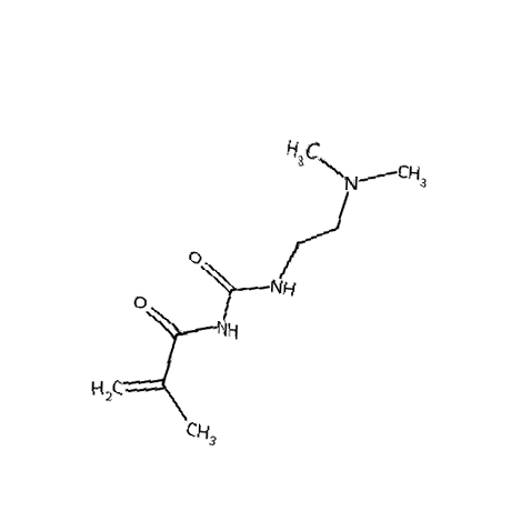 C=C(C)C(=O)NC(=O)NCCN(C)C